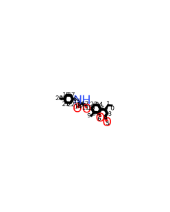 CCc1cc(=O)oc2c(C)c(OCC(=O)Nc3ccc(C)cc3)ccc12